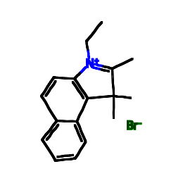 CC[N+]1=C(C)C(C)(C)c2c1ccc1ccccc21.[Br-]